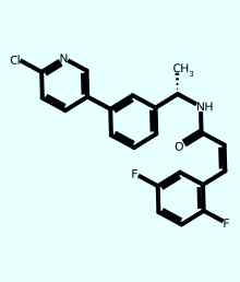 C[C@H](NC(=O)/C=C\c1cc(F)ccc1F)c1cccc(-c2ccc(Cl)nc2)c1